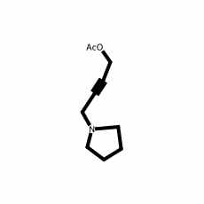 CC(=O)OCC#CCN1CCCC1